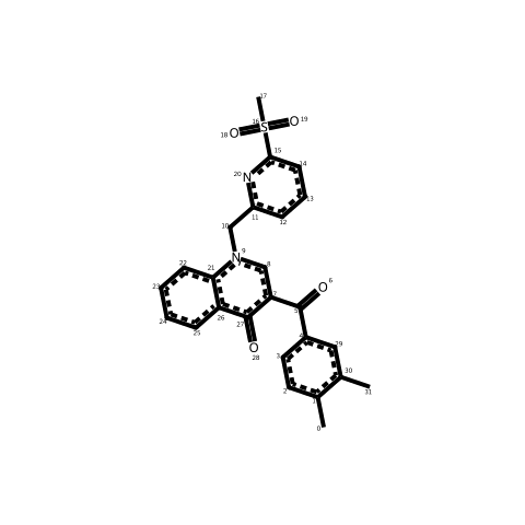 Cc1ccc(C(=O)c2cn(Cc3cccc(S(C)(=O)=O)n3)c3ccccc3c2=O)cc1C